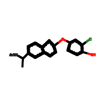 CC(=O)NC(C)c1ccc2cc(Oc3ccc(O)c(Cl)c3)ccc2c1